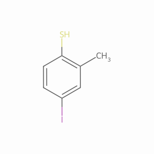 Cc1cc(I)ccc1S